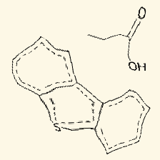 CC(=O)O.c1ccc2c(c1)sc1ccccc12